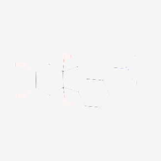 CN(C)CC1CCCC2C1CC1(O)CC(O)C(O)CC21O